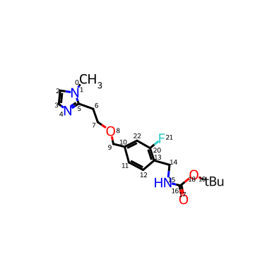 Cn1ccnc1CCOCc1ccc(CNC(=O)OC(C)(C)C)c(F)c1